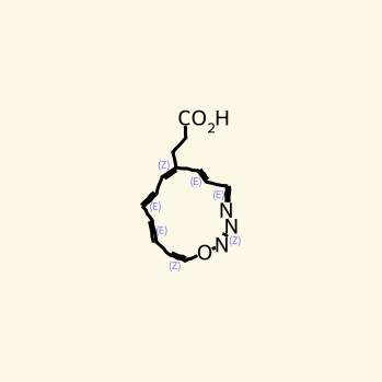 O=C(O)CCC1=C/C=C/C=C/C=C\O/N=N\N=C\C=C\1